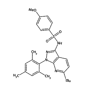 COc1ccc(S(=O)(=O)Nc2nn(-c3c(C)cc(C)cc3C)c3nc(C(C)(C)C)ccc23)cc1